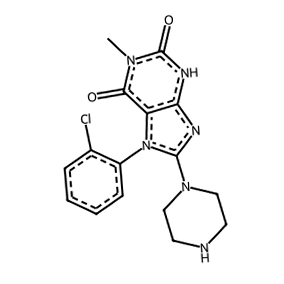 Cn1c(=O)[nH]c2nc(N3CCNCC3)n(-c3ccccc3Cl)c2c1=O